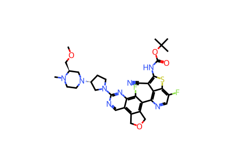 COC[C@H]1CN([C@@H]2CCN(c3ncc4c5c(c(-c6ncc(F)c7sc(NC(=O)OC(C)(C)C)c(C#N)c67)c(F)c4n3)COC5)C2)CCN1C